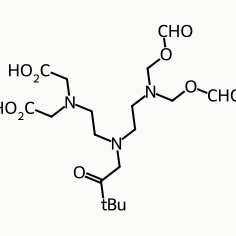 CC(C)(C)C(=O)CN(CCN(COC=O)COC=O)CCN(CC(=O)O)CC(=O)O